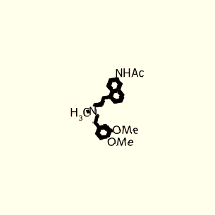 COc1ccc(CCN(C)C=CCc2cccc3cc(NC(C)=O)ccc23)cc1OC